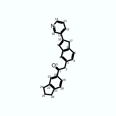 O=C(Cc1ccc2c(c1)C=C(c1cccnc1)C2)c1ccc2c(c1)CCC2